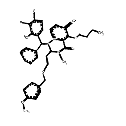 CCCCOc1c2n(ccc1=O)N(C(c1ccccc1)c1ccc(F)c(F)c1O)C(CCOCc1ccc(OC)cc1)N(C)C2=O